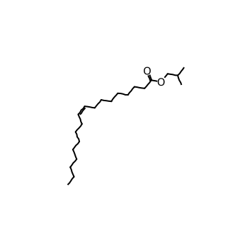 CCCCCCCC/C=C\CCCCCCCC(=O)OCC(C)C